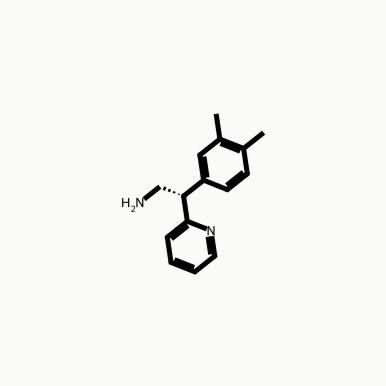 Cc1ccc([C@@H](CN)c2ccccn2)cc1C